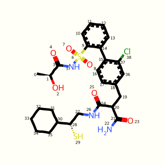 C[C@H](O)C(=O)NS(=O)(=O)c1ccccc1-c1ccc(CC(C(N)=O)C(=O)NC[C@H](S)C2CCCCC2)cc1Cl